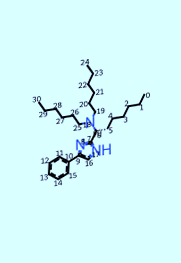 CCCCCC[C@H](c1nc(-c2ccccc2)c[nH]1)N(CCCCCC)CCCCCC